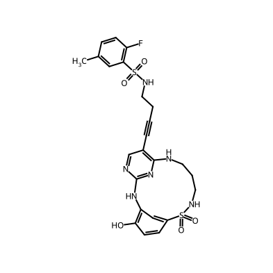 Cc1ccc(F)c(S(=O)(=O)NCCC#Cc2cnc3nc2NCCCNS(=O)(=O)c2ccc(O)c(c2)N3)c1